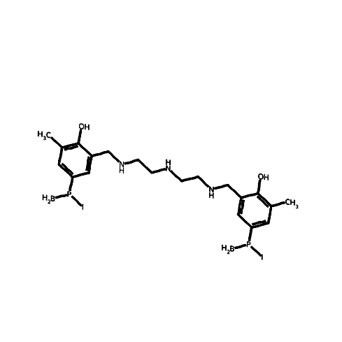 BP(I)c1cc(C)c(O)c(CNCCNCCNCc2cc(P(B)I)cc(C)c2O)c1